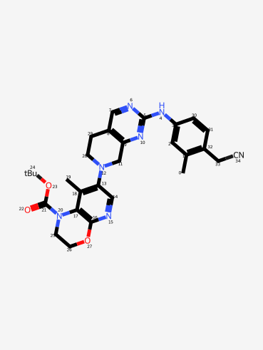 Cc1cc(Nc2ncc3c(n2)CN(c2cnc4c(c2C)N(C(=O)OC(C)(C)C)CCO4)CC3)ccc1CC#N